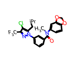 CC(C)Cc1c(Cl)c(C(F)(F)F)nn1-c1cccc(C(=O)N(C)c2ccc3c(c2)OCO3)c1